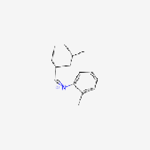 CCC(/C=N\c1ccccc1C)CC(C)C